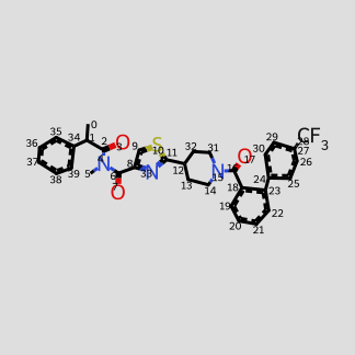 CC(C(=O)N(C)C(=O)c1csc(C2CCN(C(=O)c3ccccc3-c3ccc(C(F)(F)F)cc3)CC2)n1)c1ccccc1